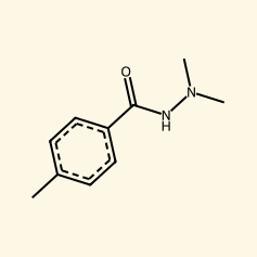 Cc1ccc(C(=O)NN(C)C)cc1